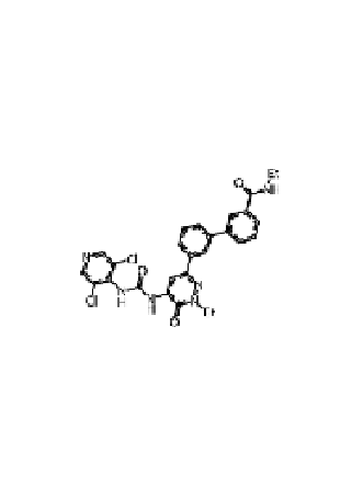 CCNC(=O)c1cccc(-c2cccc(-c3cc(NC(=O)Nc4c(Cl)cncc4Cl)c(=O)n(CC)n3)c2)c1